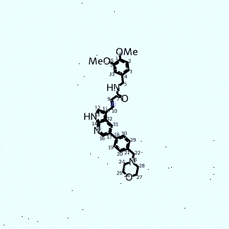 COc1ccc(CNC(=O)/C=C/c2c[nH]c3ncc(-c4ccc(CN5CCOCC5)cc4)cc23)cc1OC